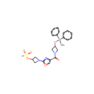 CC(C)(C)[Si](OC1CN(C(=O)c2coc(N3CC(OS(C)(=O)=O)C3)n2)C1)(c1ccccc1)c1ccccc1